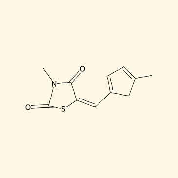 CC1=CC=C(C=C2SC(=O)N(C)C2=O)C1